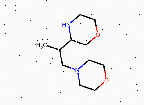 [CH2]C(CN1CCOCC1)C1COCCN1